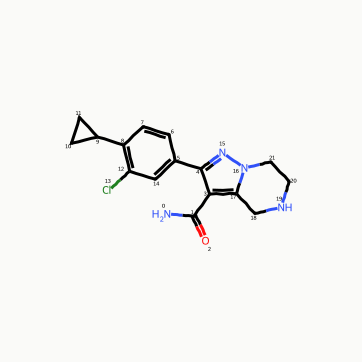 NC(=O)c1c(-c2ccc(C3CC3)c(Cl)c2)nn2c1CNCC2